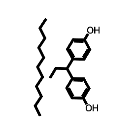 CCC(c1ccc(O)cc1)c1ccc(O)cc1.CCCCCCCCCCC